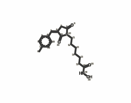 Cc1ccc(C=C2CC(=O)N(CCCCCCC(=O)NO)C2=O)cc1